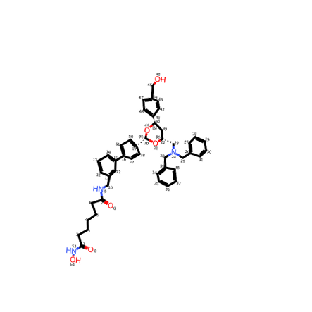 O=C(CCCCCC(=O)NCc1cccc(-c2ccc([C@H]3O[C@@H](CN(Cc4ccccc4)Cc4ccccc4)C[C@@H](c4ccc(CO)cc4)O3)cc2)c1)NO